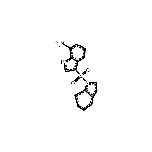 O=[N+]([O-])c1cccc2c(S(=O)(=O)n3ccc4ccccc43)c[nH]c12